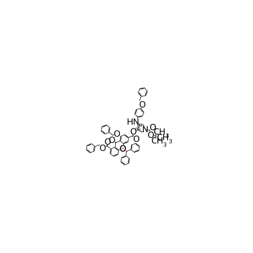 CC(C)(C)OC(=O)N1C[C@H](Nc2ccc(OCc3ccccc3)cc2)[C@@H](OC(=O)c2cc(OCc3ccccc3)c(C(=O)c3c(OCc4ccccc4)cccc3C(=O)OCc3ccccc3)c(OCc3ccccc3)c2)C1